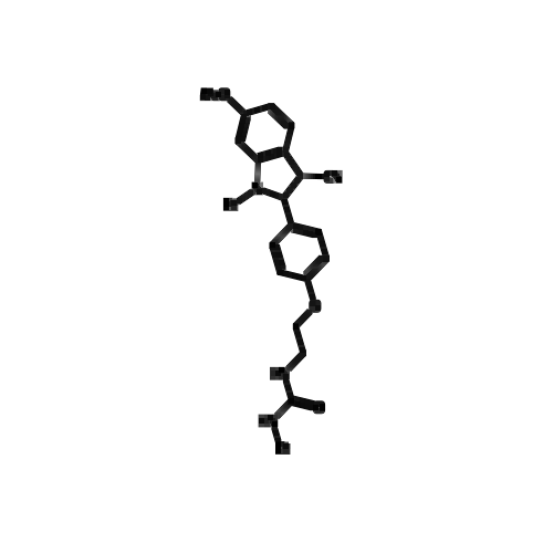 CCNC(=O)NCCOc1ccc(C2C(C#N)c3ccc(OC)cc3N2CC)cc1